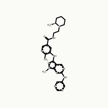 Cc1ncc(C(=O)NCCN2CCCC[C@@H]2C)cc1Nc1nn(C)c2nc(Nc3cncnc3)ncc12